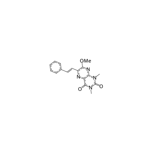 COc1nc2c(nc1C=Cc1ccccc1)c(=O)n(C)c(=O)n2C